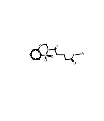 CCCOC(=O)CCCC(=O)N1COc2ccccc2S1(=O)=O